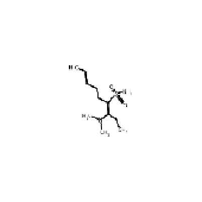 CCCCCC(C(CC)N(C)C)S(N)(=O)=O